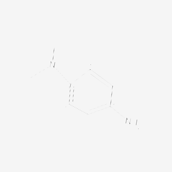 CN(C)c1c[c]c(N)cc1